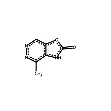 Cc1nncc2oc(=O)[nH]c12